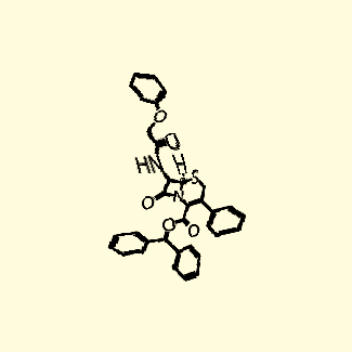 O=C(COc1ccccc1)NC1C(=O)N2C(C(=O)OC(c3ccccc3)c3ccccc3)=C(c3ccccc3)CS[C@H]12